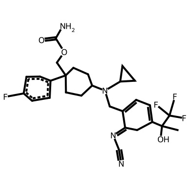 CC(O)(C1=CC=C(CN(C2CC2)C2CCC(COC(N)=O)(c3ccc(F)cc3)CC2)C(=NC#N)C1)C(F)(F)F